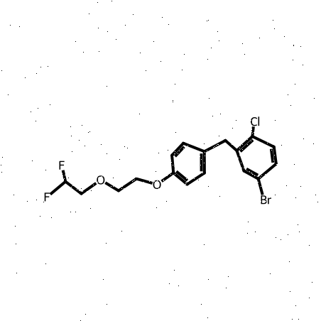 FC(F)COCCOc1ccc(Cc2cc(Br)ccc2Cl)cc1